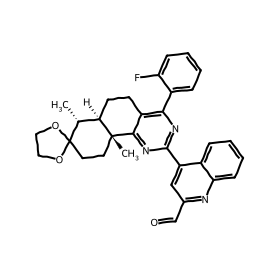 C[C@@H]1[C@H]2CCc3c(-c4ccccc4F)nc(-c4cc(C=O)nc5ccccc45)nc3[C@]2(C)CCC12OCCO2